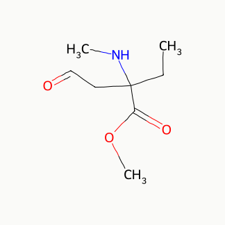 CCC(CC=O)(NC)C(=O)OC